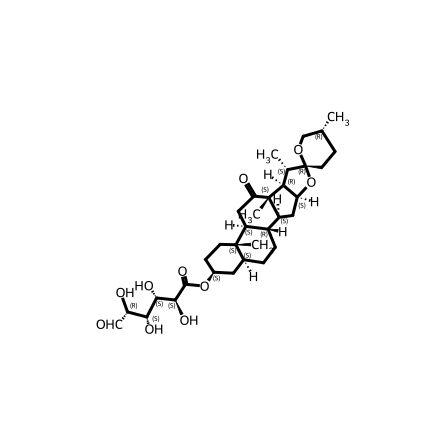 C[C@@H]1CC[C@@]2(OC1)O[C@H]1C[C@H]3[C@@H]4CC[C@H]5C[C@@H](OC(=O)[C@@H](O)[C@@H](O)[C@H](O)[C@@H](O)C=O)CC[C@]5(C)[C@H]4CC(=O)[C@]3(C)[C@H]1[C@@H]2C